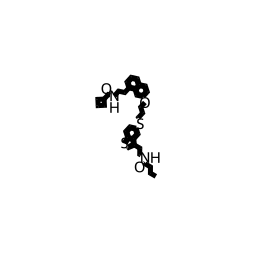 CCCC(=O)NCCc1csc2ccc(SCCCOc3ccc4cccc(CCNC(=O)C5CCC5)c4c3)cc12